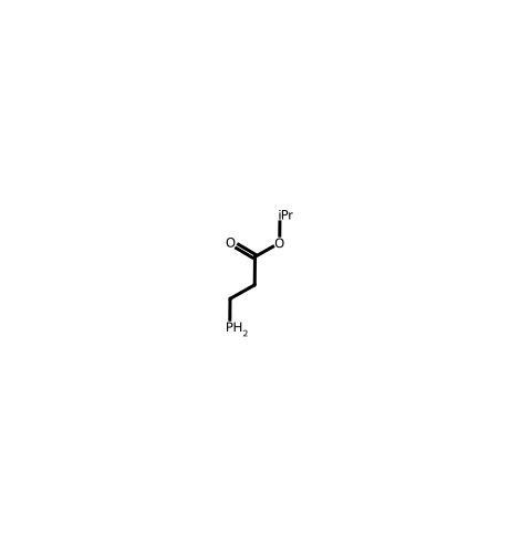 CC(C)OC(=O)CCP